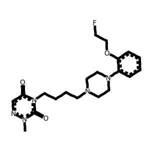 Cn1ncc(=O)n(CCCCN2CCN(c3ccccc3OCCF)CC2)c1=O